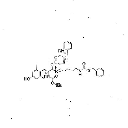 Cc1cc(O)cc(C)c1C[C@H](NC(=O)OC(C)(C)C)C(=O)N[C@@H](CCCCNC(=O)OCc1ccccc1)C(=O)N[C@@H](Cc1ccccc1)C(N)=O